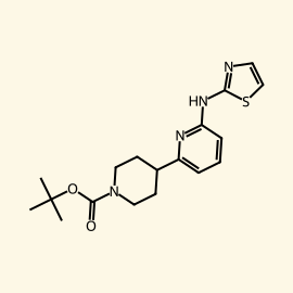 CC(C)(C)OC(=O)N1CCC(c2cccc(Nc3nccs3)n2)CC1